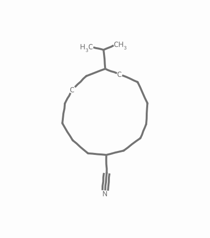 CC(C)C1CCCCCCC(C#N)CCCCCC1